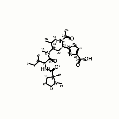 CCC(C)[C@H](NC(=O)[C@@]1(C)CCCN1C)C(=O)N(C)[C@H](C[C@@H](NC(C)=O)c1nc(C(=O)O)cs1)C(C)C